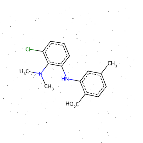 Cc1ccc(C(=O)O)c(Nc2cccc(Cl)c2N(C)C)c1